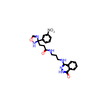 O=C(CCC1(c2cccc([N+](=O)[O-])c2)N=CON1)NCCCNc1n[nH]c(=O)c2ccccc12